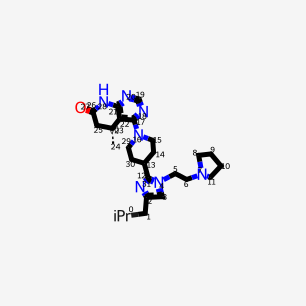 CC(C)Cc1cn(CCN2CCCC2)c(C2CCN(c3ncnc4c3[C@H](C)CC(=O)N4)CC2)n1